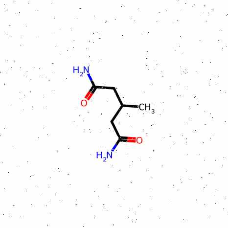 CC([CH]C(N)=O)CC(N)=O